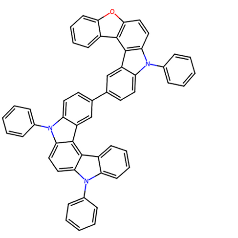 c1ccc(-n2c3ccc(-c4ccc5c(c4)c4c6c7ccccc7n(-c7ccccc7)c6ccc4n5-c4ccccc4)cc3c3c4c(ccc32)oc2ccccc24)cc1